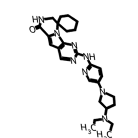 CCN(CC)C1CCN(c2ccc(Nc3ncc4cc5n(c4n3)C3(CCCCC3)CNC5=O)nc2)C1